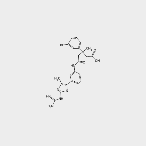 Cc1nc(NC(=N)N)sc1-c1cccc(NC(=O)CC(C)(CC(=O)O)c2cccc(Br)c2)c1